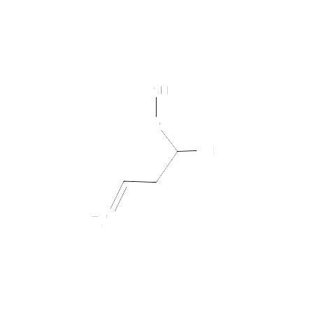 C=CCC(C)OS